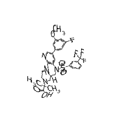 COc1cc(F)cc(-c2cnc3c(c2)N(S(=O)(=O)c2cccc(C(F)(F)F)c2)C[C@@H]2CN(C(C)(C)C(=O)O)CCN32)c1